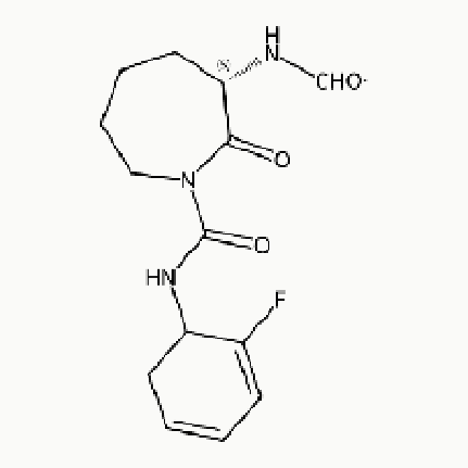 O=[C]N[C@H]1CCCCN(C(=O)NC2CC=CC=C2F)C1=O